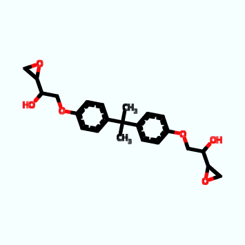 CC(C)(c1ccc(OCC(O)C2CO2)cc1)c1ccc(OCC(O)C2CO2)cc1